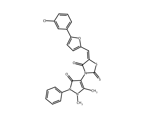 Cc1c(N2C(=O)C(=Cc3ccc(-c4cccc(Cl)c4)o3)SC2=S)c(=O)n(-c2ccccc2)n1C